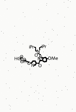 COc1ccc2c(C(=O)c3ccc(OCCOP(=O)(O)O)nc3)nn(CC(=O)N(CCC(C)C)CCC(C)C)c2c1